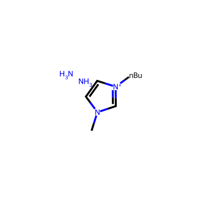 CCCC[n+]1ccn(C)c1.N.N